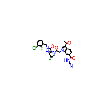 CC(=O)c1cn(CC(=O)N2C[C@H](F)C[C@H]2C(=O)NCc2cccc(Cl)c2F)c2cc(C(=O)NC#N)ccc12